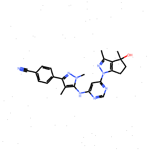 Cc1nn(-c2cc(Nc3c(C)c(-c4ccc(C#N)cc4)nn3C)ncn2)c2c1C(C)(O)CC2